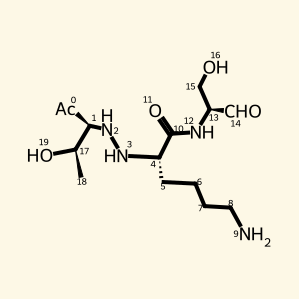 CC(=O)[C@@H](NN[C@@H](CCCCN)C(=O)N[C@H](C=O)CO)[C@@H](C)O